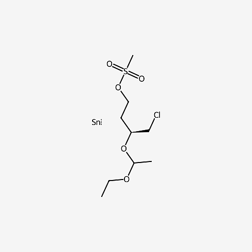 CCOC(C)O[C@H](CCl)CCOS(C)(=O)=O.[Sn]